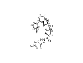 CN1CCC(CNC(=O)c2ccc(Nc3nc4cccc(-c5cccc(F)c5)n4n3)cc2)CC1